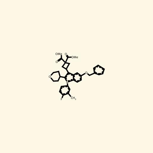 COC(=O)C1(C(=O)OC)CC(c2c(C3CCOCC3)n(-c3ccc(F)c(C)c3)c3ccc(OCc4ccccc4)cc23)C1